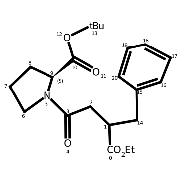 CCOC(=O)C(CC(=O)N1CCC[C@H]1C(=O)OC(C)(C)C)Cc1ccccc1